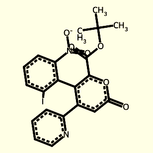 CC(C)(C)OC(=O)c1oc(=O)cc(-c2ccccn2)c1-c1c(I)cccc1[N+](=O)[O-]